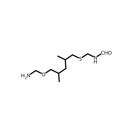 CC(COCN)CC(C)CSCNC=O